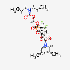 CCCN(CCC)C(=O)OCOP(=O)(OCOC(=O)N(CCC)CCC)C(C)(F)F